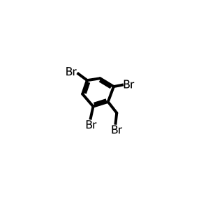 BrCc1c(Br)cc(Br)cc1Br